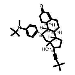 CN(c1ccc([C@H]2CC3(C)[C@@H](CC[C@@]3(O)C#CC(C)(C)C)[C@@H]3CCC4=CC(=O)CC[C@@H]4[C@H]32)cc1)C(C)(C)C